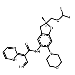 C[C@]1(COC(F)F)Cc2cc(NC(=O)/C(C=N)=C3\N=CC=CN3)c(N3CCOCC3)cc2O1